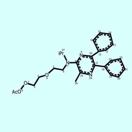 CC(=O)OOCCOCCN(c1nc(-c2ccccc2)c(-c2ccccc2)nc1C)C(C)C